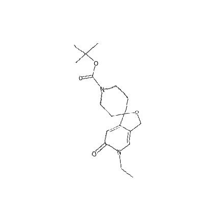 CCn1cc2c(cc1=O)C1(CCN(C(=O)OC(C)(C)C)CC1)OC2